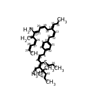 C=C/C(=C(\C=C/Cc1ccc(C/C=C\C(=C/CC)C/C=C\C=C(/N)C(=C)/C=C\C=C/C)cc1)SCCC)C(C)(C)CCC